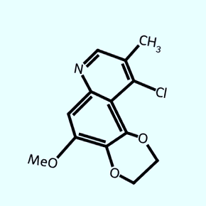 COc1cc2ncc(C)c(Cl)c2c2c1OCCO2